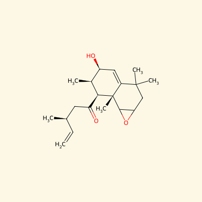 C=C[C@@H](C)CC(=O)[C@H]1[C@@H](C)[C@@H](O)C=C2C(C)(C)CC3OC3[C@@]21C